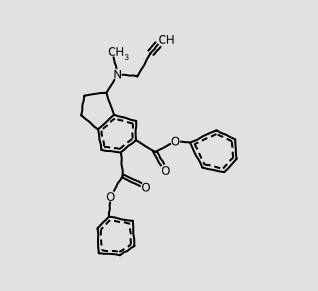 C#CCN(C)C1CCc2cc(C(=O)Oc3ccccc3)c(C(=O)Oc3ccccc3)cc21